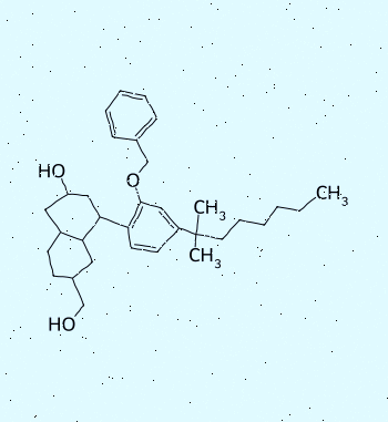 CCCCCCC(C)(C)c1ccc(C2CC(O)CC3CCC(CO)CC32)c(OCc2ccccc2)c1